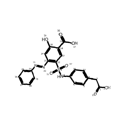 O=C(O)Cc1ccc(NS(=O)(=O)c2cc(C(=O)O)c(O)cc2N=Nc2ccccc2)cc1